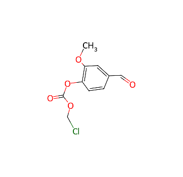 COc1cc(C=O)ccc1OC(=O)OCCl